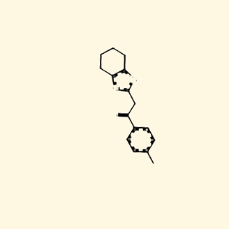 Cc1ccc(C(=O)Cc2nc3c([nH]2)CCCC3)cc1.Cl